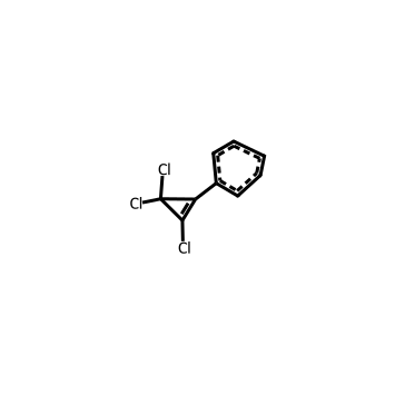 ClC1=C(c2ccccc2)C1(Cl)Cl